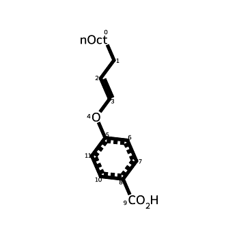 CCCCCCCCCC=COc1ccc(C(=O)O)cc1